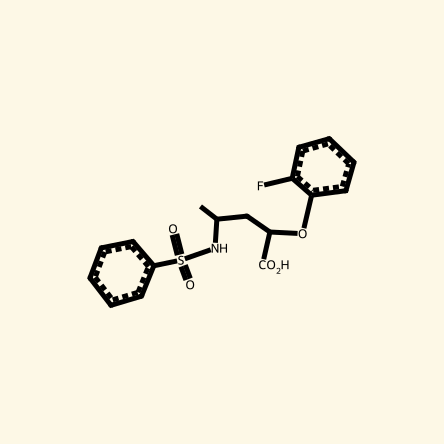 CC(CC(Oc1ccccc1F)C(=O)O)NS(=O)(=O)c1ccccc1